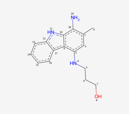 Cc1cc(NCCCO)c2c([nH]c3ccccc32)c1N